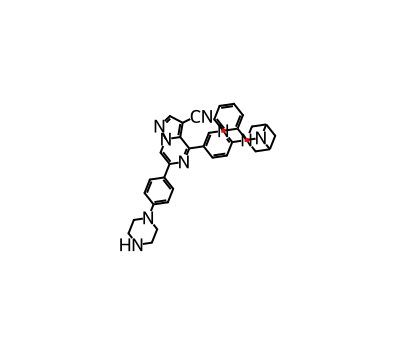 N#Cc1cnn2cc(-c3ccc(N4CCNCC4)cc3)nc(-c3ccc(N4CC5CC(C4)N5Cc4ccccc4)nc3)c12